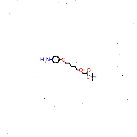 CC(C)(C)OC(=O)COCCCCCOc1ccc(N)cc1